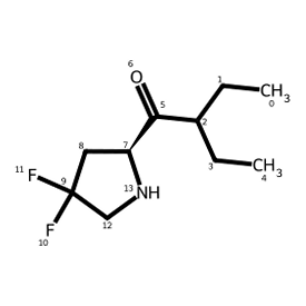 CCC(CC)C(=O)[C@@H]1CC(F)(F)CN1